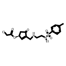 CCN(CCNCC1=C[C@@H](OC(=O)CCl)CC1=O)S(=O)(=O)c1ccc(C)cc1